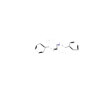 CC(=N/Cc1ccccc1)/C(C)=N\Cc1ccccc1